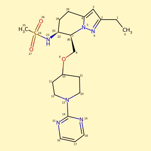 CCc1cc2n(n1)[C@@H](COC1CCN(c3ncccn3)CC1)[C@@H](NS(C)(=O)=O)CC2